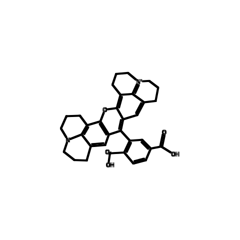 O=C(O)c1ccc(C(=O)O)c(C2=c3cc4c5c(c3Oc3c2cc2c6c3CCCN6CCC2)CCC[N+]=5CCC4)c1